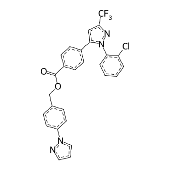 O=C(OCc1ccc(-n2cccn2)cc1)c1ccc(-c2cc(C(F)(F)F)nn2-c2ccccc2Cl)cc1